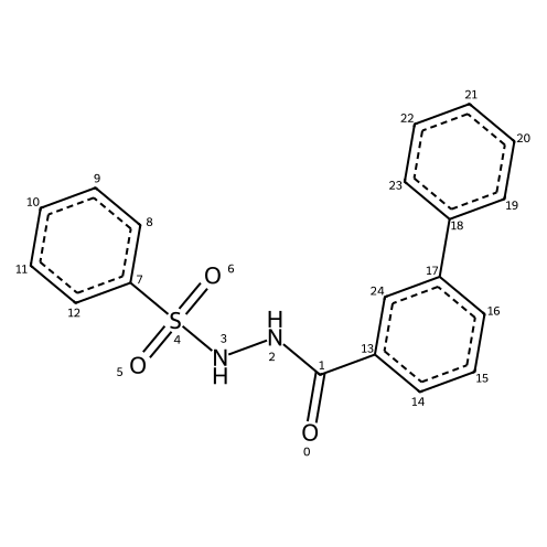 O=C(NNS(=O)(=O)c1ccccc1)c1cccc(-c2ccccc2)c1